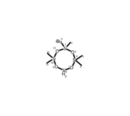 CCC(C)[Si]1(C)O[Si](C)(C)O[SiH2]O[Si](C)(C)O1